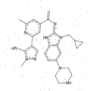 C=C(/N=c1\[nH]c2ccc(N3CCNCC3)cc2n1CC1CC1)c1cc(C)nc(-c2cnn(C)c2CCC)c1